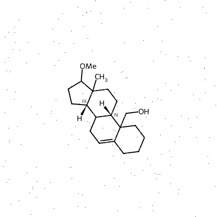 COC1CC[C@H]2C3CC=C4CCCCC4(CO)[C@H]3CCC12C